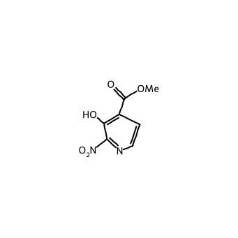 COC(=O)c1ccnc([N+](=O)[O-])c1O